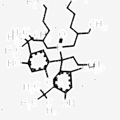 CCCCC(CC)CP(=O)(CC(CC)CCCC)C(CCC)(c1cc(C(C)(C)C)c(O)cc1C)c1cc(C(C)(C)C)c(O)cc1C